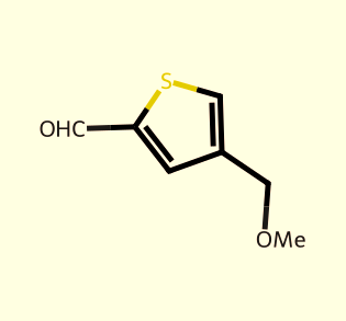 COCc1csc(C=O)c1